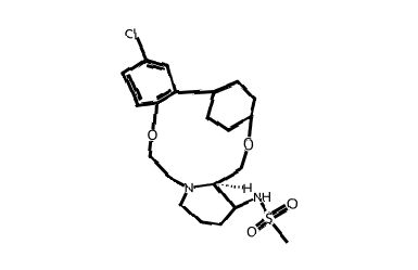 CS(=O)(=O)NC1CCCN2CCOc3ccc(Cl)cc3C3CCC(CC3)OC[C@@H]12